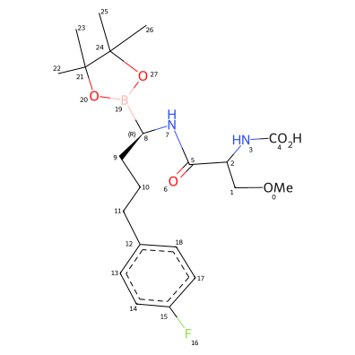 COCC(NC(=O)O)C(=O)N[C@@H](CCCc1ccc(F)cc1)B1OC(C)(C)C(C)(C)O1